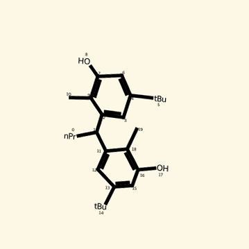 CCCC(c1cc(C(C)(C)C)cc(O)c1C)c1cc(C(C)(C)C)cc(O)c1C